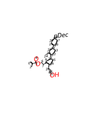 C=C(C)C(=O)OCCc1cc(-c2ccc(-c3ccc(CCCCCCCCCC)cc3)cc2C)ccc1CCCO